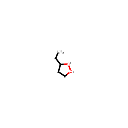 [CH2]CC1CCOO1